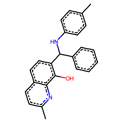 Cc1ccc(NC(c2ccccc2)c2ccc3ccc(C)nc3c2O)cc1